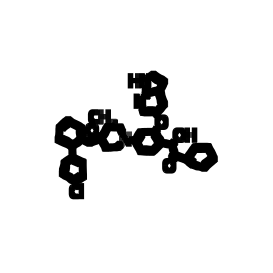 COC1(Cc2ccccc2-c2ccc(Cl)cc2)CCN(c2ccc(C(O)C(=O)c3ccccc3)c(Oc3cnc4[nH]ccc4c3)c2)CC1